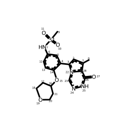 Cc1cc(-c2cc(NS(C)(=O)=O)ccc2OC2CCOCC2)n2cn[nH]c(=O)c12